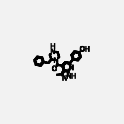 Cc1n[nH]c2nc(-c3ccc(O)cc3)cc(C(=O)N3CCNCC3Cc3ccccc3)c12